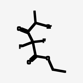 CCOC(=O)C(F)(F)C(=O)C(C)Br